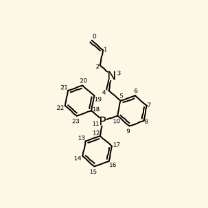 C=CCN=Cc1ccccc1P(c1ccccc1)c1ccccc1